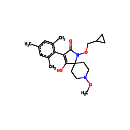 CON1CCC2(CC1)C(O)=C(c1c(C)cc(C)cc1C)C(=O)N2OCC1CC1